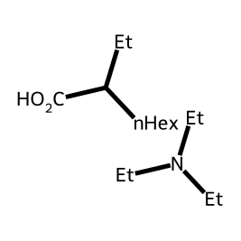 CCCCCCC(CC)C(=O)O.CCN(CC)CC